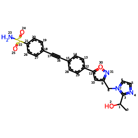 CC(O)c1nccn1Cc1cc(-c2ccc(C#Cc3ccc(S(N)(=O)=O)cc3)cc2)on1